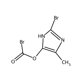 Cc1nc(Br)[nH]c1OC(=O)Br